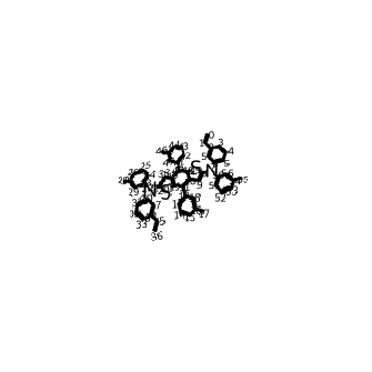 C=Cc1cccc(N(C2=CC3=C(c4cccc(C)c4)c4sc(N(c5cccc(C)c5)c5cccc(C=C)c5)cc4C(c4cccc(C)c4)C3S2)c2cccc(C)c2)c1